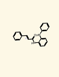 O=C(/C=C/c1ccccc1)Nc1ccccc1Nc1ccccc1